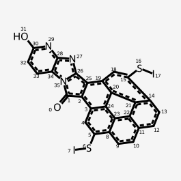 O=c1c2c3cc(SI)c4ccc5ccc6c(SI)cc(c7c6c5c4c37)c2c2nc3nc(O)ccc3n12